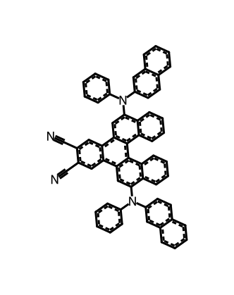 N#Cc1cc2c(cc1C#N)c1cc(N(c3ccccc3)c3ccc4ccccc4c3)c3ccccc3c1c1c3ccccc3c(N(c3ccccc3)c3ccc4ccccc4c3)cc21